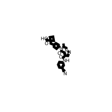 CC1Cn2ncc(C(=O)Nc3cccc(C#N)c3)c2C(=O)N1c1ccc(CC2(C(=O)O)CCC2)cc1